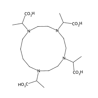 CC(C(=O)O)N1CCCCN(C(C)C(=O)O)CCN(C(C)C(=O)O)CCN(C(C)C(=O)O)CC1